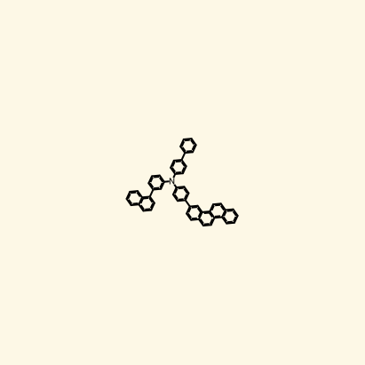 c1ccc(-c2ccc(N(c3ccc(-c4ccc5ccc6c7ccccc7ccc6c5c4)cc3)c3cccc(-c4cccc5ccccc45)c3)cc2)cc1